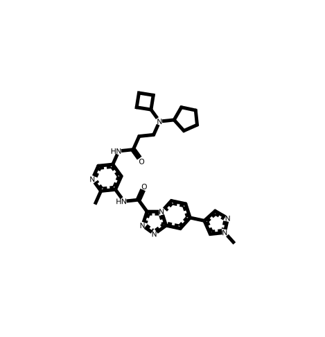 Cc1ncc(NC(=O)CCN(C2CCCC2)C2CCC2)cc1NC(=O)c1nnc2cc(-c3cnn(C)c3)ccn12